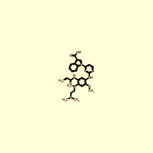 C=CC(=O)Nc1cc(Nc2nccc(-n3cc(C(=O)O)c4ccccc43)n2)c(OC)cc1N(C)CCN(C)C